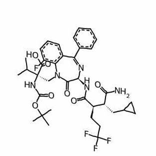 CC(C)[C@](CN1C(=O)[C@H](NC(=O)[C@H](CCC(F)(F)F)[C@@H](CC2CC2)C(N)=O)N=C(c2ccccc2)c2cccc(F)c21)(NC(=O)OC(C)(C)C)C(=O)O